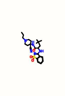 CCCN1CCC(C#N)(NC(=O)C(CC(C)(C)C)NC2=NS(=O)(=O)c3ccccc32)CC1